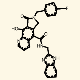 O=C(NCc1nc2ccccc2[nH]1)c1c2c(c(O)c3ncccc13)C(=O)N(Cc1ccc(F)cc1)C2